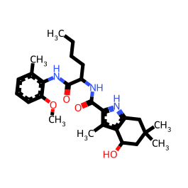 CCCCC(NC(=O)c1[nH]c2c(c1C)C(O)CC(C)(C)C2)C(=O)Nc1c(C)cccc1OC